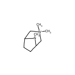 CN1C2CCC1C[N+](C)(C)C2